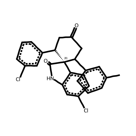 Cc1cccc(C2CC(=O)CC(c3cccc(Cl)c3)[C@]23C(=O)Nc2cc(Cl)ccc23)c1